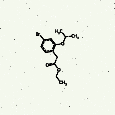 CCOC(=O)Cc1ccc(Br)cc1OC(C)C